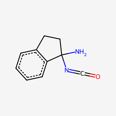 NC1(N=C=O)CCc2ccccc21